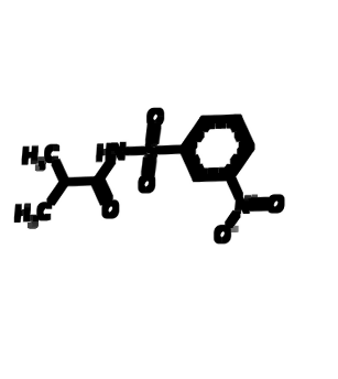 CC(C)C(=O)NS(=O)(=O)c1cccc([N+](=O)[O-])c1